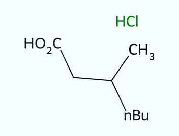 CCCCC(C)CC(=O)O.Cl